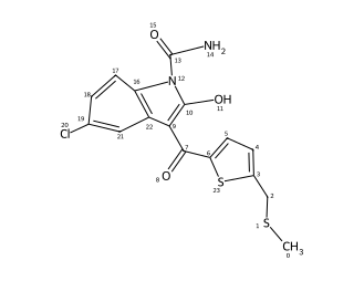 CSCc1ccc(C(=O)c2c(O)n(C(N)=O)c3ccc(Cl)cc23)s1